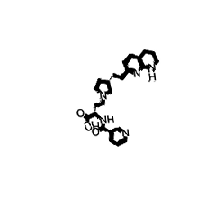 O=C(N[C@@H](CCN1CC[C@H](CCc2ccc3c(n2)NCCC3)C1)C(=O)O)c1cccnc1